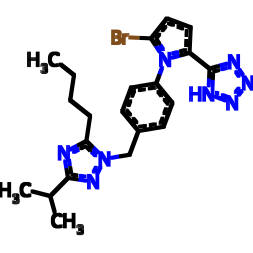 CCCCc1nc(C(C)C)nn1Cc1ccc(-n2c(Br)ccc2-c2nnn[nH]2)cc1